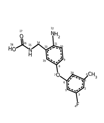 Cc1cc(F)cc(Oc2ccc(N)c(CNC(=O)O)c2)c1